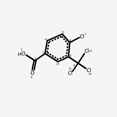 O=C(O)c1ccc(Cl)c(C(Cl)(Cl)Cl)c1